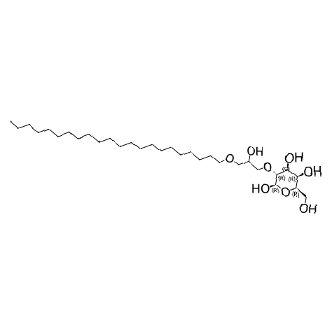 CCCCCCCCCCCCCCCCCCCCCCOCC(O)CO[C@@H]1[C@@H](O)[C@@H](O)[C@@H](CO)O[C@H]1O